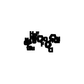 CC(C)(C)c1cc(NS(=O)(=O)c2cc(F)c(Oc3ccc(Cl)cc3-c3cccc4nccn34)cc2F)no1